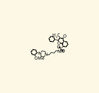 COc1ccccc1N1CCN(CCCCNS(=O)(=O)c2cccc3c(=O)c(C)c(-c4ccccc4)oc23)CC1